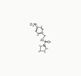 O=C(OCc1ccc([N+](=O)[O-])cc1)N1[CH]CCC1